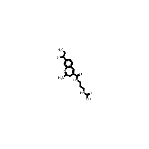 CCC(Br)c1ccc2c(c1)N=C(N)CC(C(=O)NCCCNC(=O)O)=C2